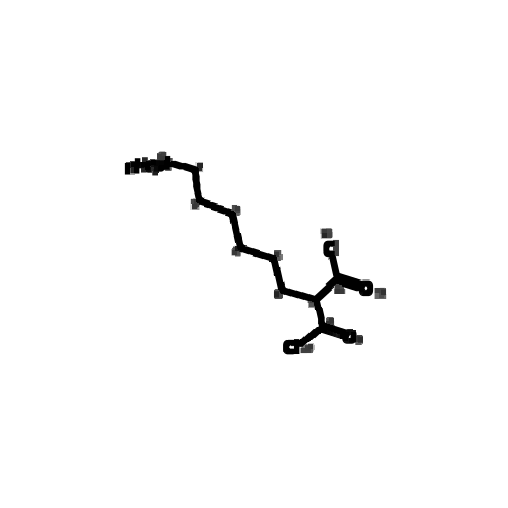 CCCCCCCCCCCCCC(C(=O)Cl)C(=O)Cl